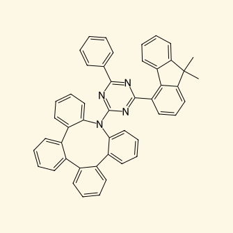 CC1(C)c2ccccc2-c2c(-c3nc(-c4ccccc4)nc(-n4c5ccccc5c5ccccc5c5ccccc5c5ccccc54)n3)cccc21